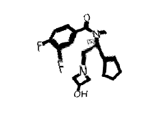 CN(C(=O)c1ccc(F)c(F)c1)[C@H](CN1CC(O)C1)C1CCCC1